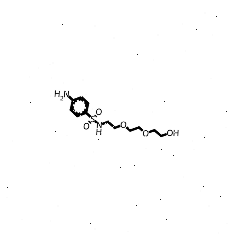 Nc1ccc(S(=O)(=O)NCCOCCOCCO)cc1